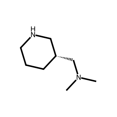 CN(C)C[C@@H]1CCCNC1